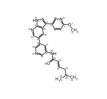 COc1ccc(-c2c[nH]c3ncc(-c4cncc(NC(=O)C=CCN(C)C)c4)cc23)cn1